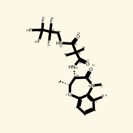 C[C@H]1Oc2cccc(F)c2N(C)C(=O)[C@H]1NC(=O)C(C)(C)C(=O)NCC(F)(F)C(F)(F)F